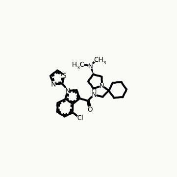 CN(C)[C@@H]1CCN(C2(CNC(=O)c3cn(-c4nccs4)c4cccc(Cl)c34)CCCCC2)C1